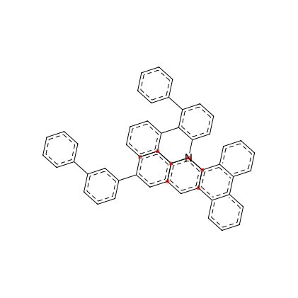 c1ccc(-c2cccc(-c3ccc(N(c4cccc(-c5ccccc5)c4-c4ccccc4-c4ccccc4)c4cc5ccccc5c5ccccc45)cc3)c2)cc1